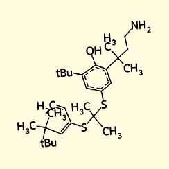 C=C/C(=C\C(C)(C)C(C)(C)C)SC(C)(C)Sc1cc(C(C)(C)C)c(O)c(C(C)(C)CCN)c1